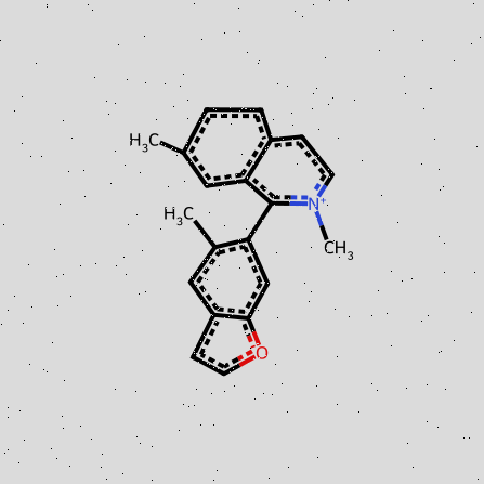 Cc1ccc2cc[n+](C)c(-c3cc4occc4cc3C)c2c1